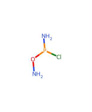 NOP(N)Cl